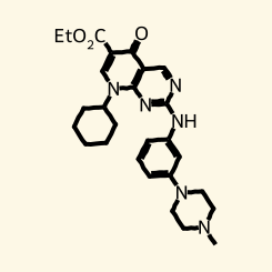 CCOC(=O)c1cn(C2CCCCC2)c2nc(Nc3cccc(N4CCN(C)CC4)c3)ncc2c1=O